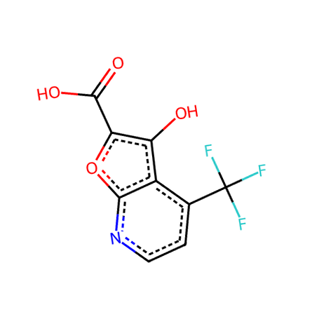 O=C(O)c1oc2nccc(C(F)(F)F)c2c1O